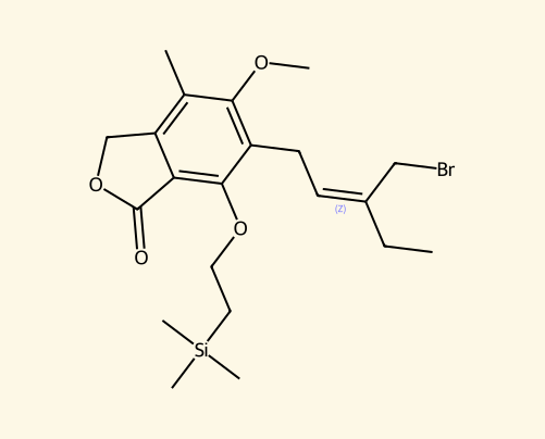 CC/C(=C/Cc1c(OC)c(C)c2c(c1OCC[Si](C)(C)C)C(=O)OC2)CBr